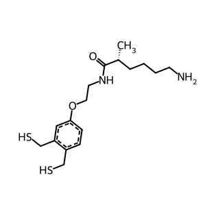 C[C@H](CCCCN)C(=O)NCCOc1ccc(CS)c(CS)c1